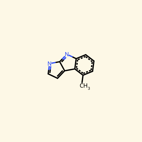 Cc1cccc2c1C1=CC=NC1=N2